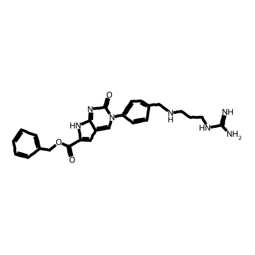 N=C(N)NCCCNCc1ccc(-n2cc3cc(C(=O)OCc4ccccc4)[nH]c3nc2=O)cc1